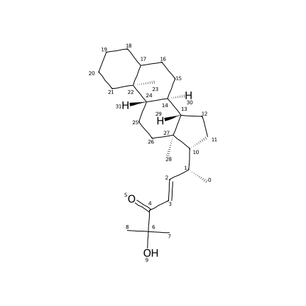 C[C@H](C=CC(=O)C(C)(C)O)[C@H]1CC[C@H]2[C@@H]3CCC4CCCC[C@]4(C)[C@H]3CC[C@]12C